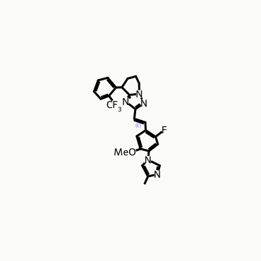 COc1cc(/C=C/c2nc3n(n2)CCCC3c2ccccc2C(F)(F)F)c(F)cc1-n1cnc(C)c1